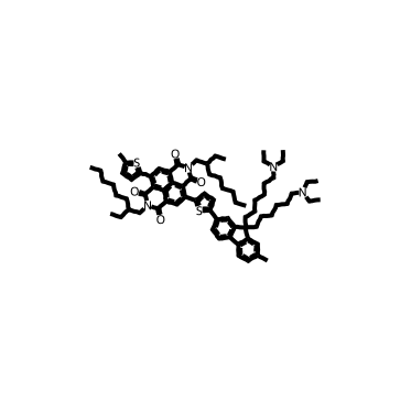 CCCCCCC(CC)CN1C(=O)c2cc(-c3ccc(-c4ccc5c(c4)C(CCCCCCN(CC)CC)(CCCCCCN(CC)CC)c4cc(C)ccc4-5)s3)c3c4c(cc(-c5ccc(C)s5)c(c24)C1=O)C(=O)N(CC(CC)CCCCCC)C3=O